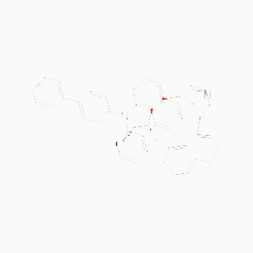 CCC1Cc2cccc3cccc(c23)-c2cccc(c2C)-c2cccc(N(c3ccc(-c4ccccc4)cc3)c3ccccc3-c3ccccc3)c21